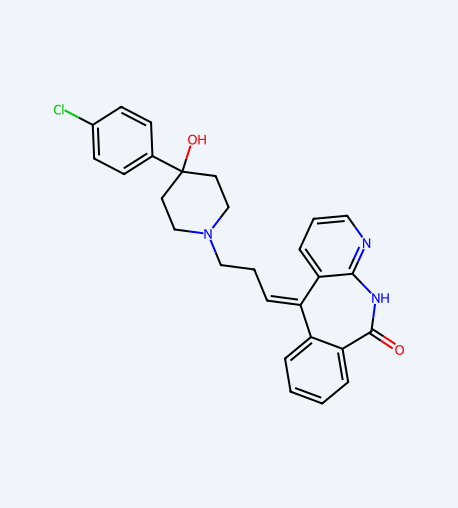 O=C1Nc2ncccc2C(=CCCN2CCC(O)(c3ccc(Cl)cc3)CC2)c2ccccc21